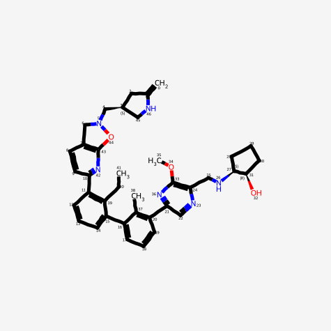 C=C1C[C@H](CN2Cc3ccc(-c4cccc(-c5cccc(-c6cnc(CN[C@H]7CCC[C@H]7O)c(OC)n6)c5C)c4CC)nc3O2)CN1